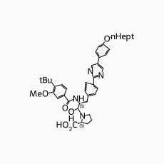 CCCCCCCOc1ccc(-c2cnc(-c3ccc(C[C@H](NC(=O)c4ccc(C(C)(C)C)c(OC)c4)C(O)N4CCC[C@H]4C(=O)O)cc3)nc2)cc1